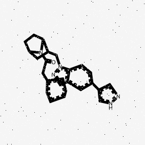 O=C(Cc1ccccc1)N1C2CCC1C(Cn1ncc3cc(-c4cn[nH]c4)ccc31)C2